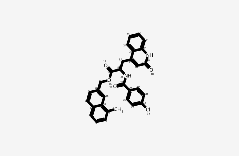 Cc1cccc2ccc(COC(=O)C(Cc3cc(=O)[nH]c4ccccc34)NC(=O)c3ccc(Cl)cc3)cc12